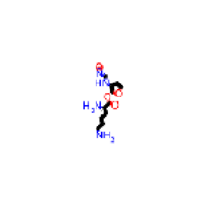 NCCCC[C@H](N)C(=O)Oc1occc1NCN=O